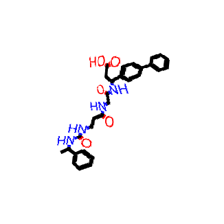 CC(NC(=O)NCCC(=O)NCC(=O)NC(CC(=O)O)c1ccc(-c2ccccc2)cc1)c1ccccc1